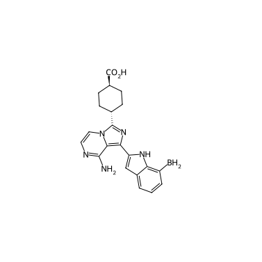 Bc1cccc2cc(-c3nc([C@H]4CC[C@H](C(=O)O)CC4)n4ccnc(N)c34)[nH]c12